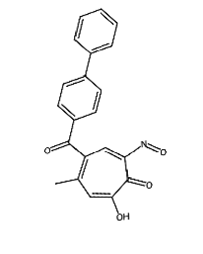 Cc1cc(O)c(=O)c(N=O)cc1C(=O)c1ccc(-c2ccccc2)cc1